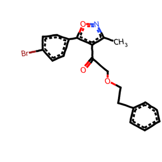 Cc1noc(-c2ccc(Br)cc2)c1C(=O)COCCc1ccccc1